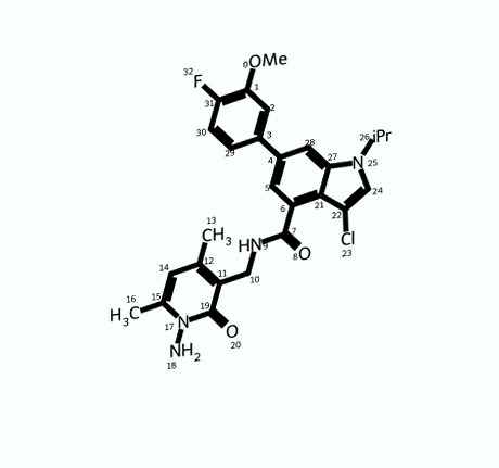 COc1cc(-c2cc(C(=O)NCc3c(C)cc(C)n(N)c3=O)c3c(Cl)cn(C(C)C)c3c2)ccc1F